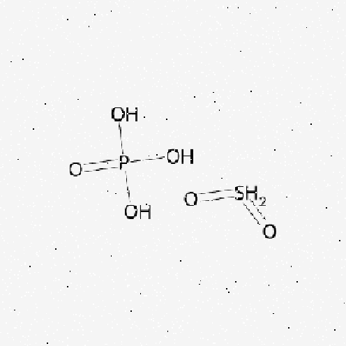 O=P(O)(O)O.O=[SH2]=O